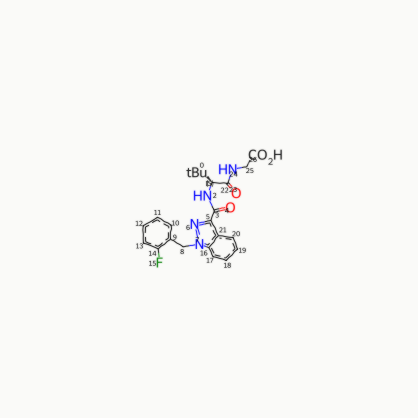 CC(C)(C)[C@H](NC(=O)c1nn(Cc2ccccc2F)c2ccccc12)C(=O)NCC(=O)O